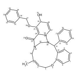 C/C1=C/COc2ccccc2C(c2ccccc2)N2CN(C1)C(=O)C1=C(OCc3ccccc3)C(O)C=CN12